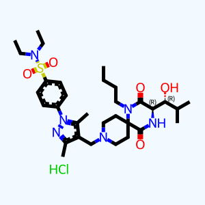 CCCCN1C(=O)[C@@H]([C@H](O)C(C)C)NC(=O)C12CCN(Cc1c(C)nn(-c3ccc(S(=O)(=O)N(CC)CC)cc3)c1C)CC2.Cl